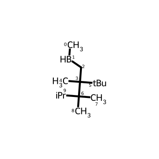 CBCC(C)(C(C)(C)C)C(C)(C)C(C)C